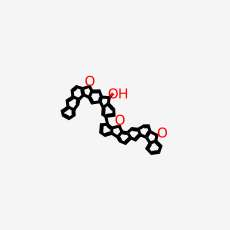 O=C1c2cc3c(cc2-c2c1ccc1cc4ccccc4cc21)-c1cc(-c2cccc4c2c(=O)c2c5cc6ccc7c(=O)c8ccccc8c7c6cc5ccc42)ccc1C3O